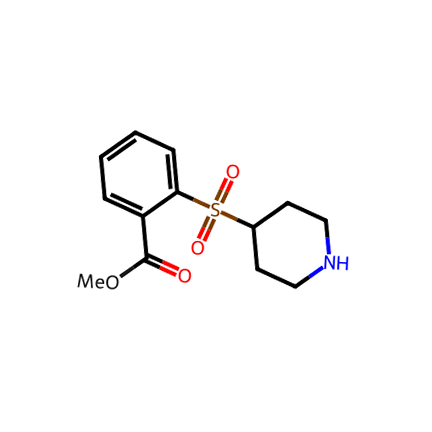 COC(=O)c1ccccc1S(=O)(=O)C1CCNCC1